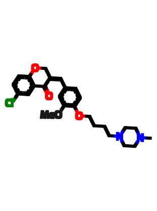 COc1cc(C=C2COc3ccc(Cl)cc3C2=O)ccc1OCCCCN1CCN(C)CC1